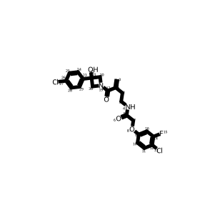 C=C(CCNC(=O)COc1ccc(Cl)c(F)c1)C(=O)N1CC(O)(c2ccc(Cl)cc2)C1